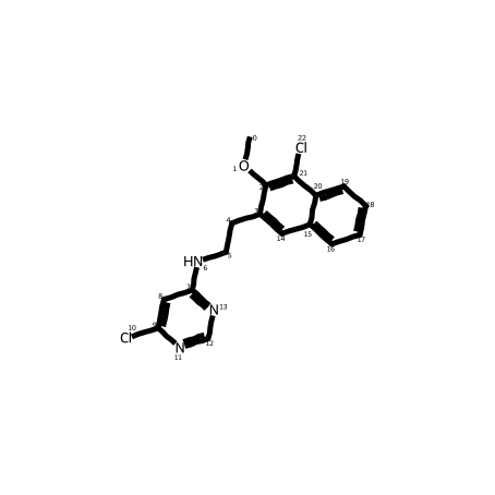 COc1c(CCNc2cc(Cl)ncn2)cc2ccccc2c1Cl